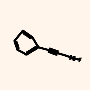 [F][Ag][C]#Cc1ccccc1